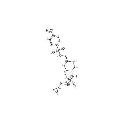 Cc1ccc(S(=O)(=O)OC[C@@H]2CC[C@@H](NS(=O)(=O)NCC3CC3)CO2)cc1